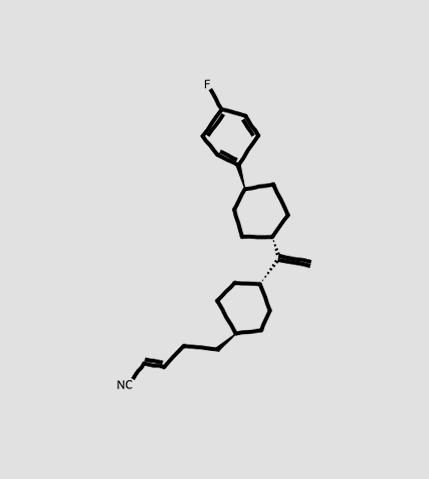 C=C([C@H]1CC[C@H](CC/C=C/C#N)CC1)[C@H]1CC[C@H](c2ccc(F)cc2)CC1